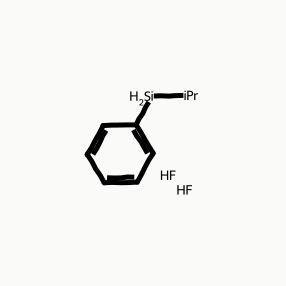 CC(C)[SiH2]c1ccccc1.F.F